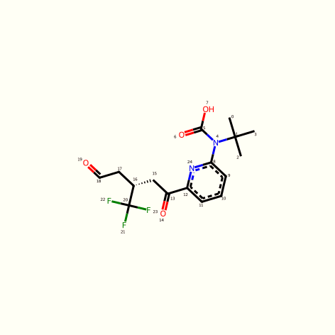 CC(C)(C)N(C(=O)O)c1cccc(C(=O)C[C@@H](CC=O)C(F)(F)F)n1